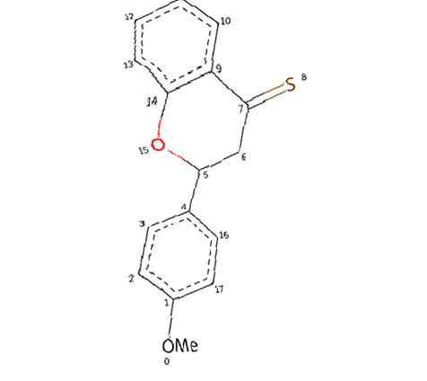 COc1ccc(C2CC(=S)c3ccccc3O2)cc1